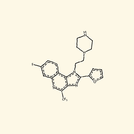 Fc1ccc2c(c1)nc(C(F)(F)F)c1nc(-c3ccco3)n(CCN3CCNCC3)c12